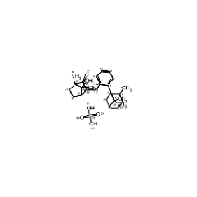 CC1CCC2CC1(c1ccccc1C=C1C(=O)C3(C)CCC1C3(C)C)C2(C)C.O=S(=O)(O)O